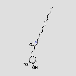 CCCCCCCCCCC/C=C/C(=O)CCc1ccc(O)c(OC)c1